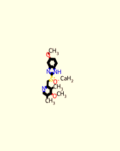 COc1ccc2[nH]c([S+]([O-])Cc3ncc(C)c(OC)c3C)nc2c1.[CaH2]